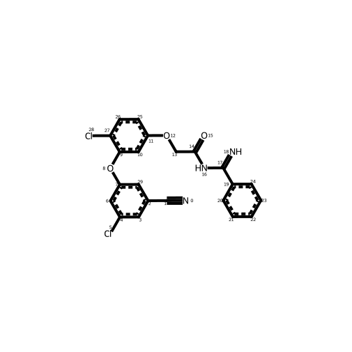 N#Cc1cc(Cl)cc(Oc2cc(OCC(=O)NC(=N)c3ccccc3)ccc2Cl)c1